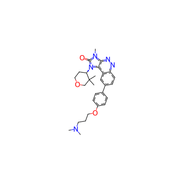 CN(C)CCCOc1ccc(-c2ccc3nnc4c(c3c2)n([C@@H]2CCOCC2(C)C)c(=O)n4C)cc1